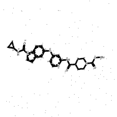 CC(C)(C)OC(=O)N1CCC(C(=O)Nc2cc(Oc3ccc4c(ccn4C(=O)NC4CC4)c3)ccn2)CC1